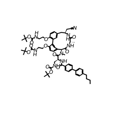 CCCCc1ccc(-c2ccc(C(=O)N[C@@H](CNC(=O)OC(C)(C)C)C(=O)N(C)[C@@H]3C(=O)N[C@@H](C)C(=O)N[C@H](CC#N)Cc4ccc(OCCNC(=O)OC(C)(C)C)c(c4)-c4cc3ccc4OCCNC(=O)OC(C)(C)C)cc2)cc1